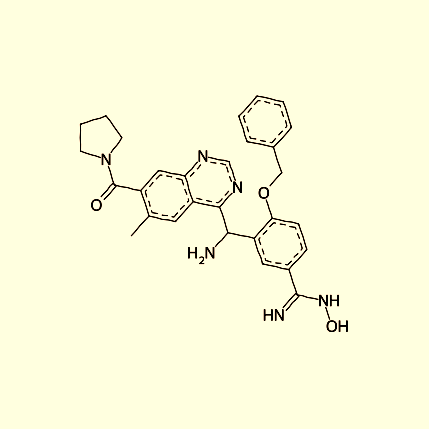 Cc1cc2c(C(N)c3cc(C(=N)NO)ccc3OCc3ccccc3)ncnc2cc1C(=O)N1CCCC1